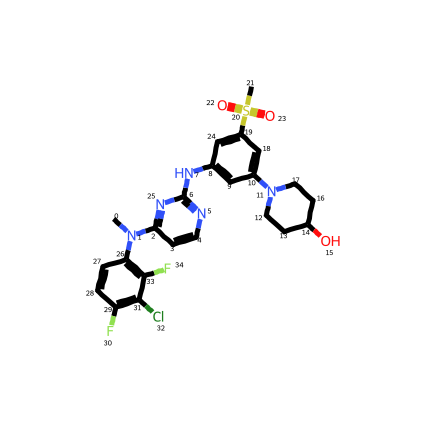 CN(c1ccnc(Nc2cc(N3CCC(O)CC3)cc(S(C)(=O)=O)c2)n1)c1ccc(F)c(Cl)c1F